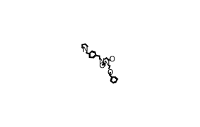 O=C1CN(CCc2ccc(CN3CCCC3)cc2)C(=O)N1CCOCc1ccccc1